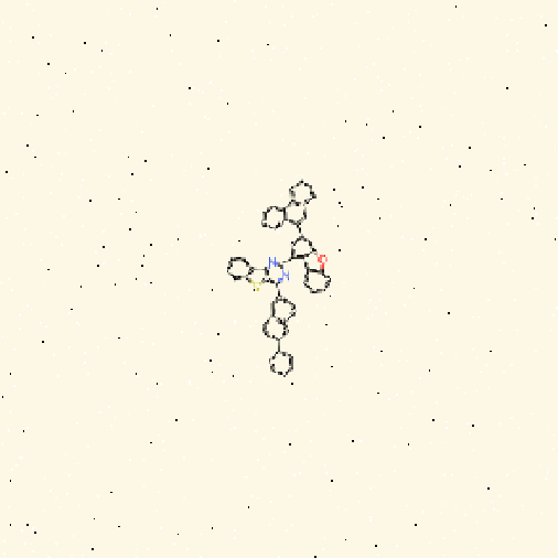 c1ccc(-c2ccc3cc(-c4nc(-c5cc(-c6cc7ccccc7c7ccccc67)cc6oc7ccccc7c56)nc5c4sc4ccccc45)ccc3c2)cc1